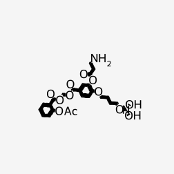 CC(=O)Oc1ccccc1C(=O)OCOC(=O)c1ccc(OCCCCON(O)O)c(OC(=O)CCN)c1